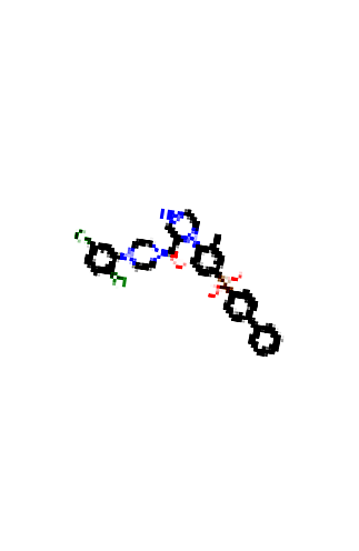 Cc1cc(S(=O)(=O)c2ccc(-c3ccccc3)cc2)ccc1N1CCNCC1C(=O)N1CCN(c2cc(Cl)ccc2Cl)CC1